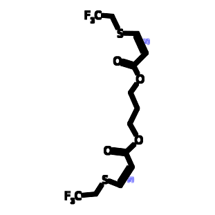 O=C(/C=C\SCC(F)(F)F)OCCCOC(=O)/C=C\SCC(F)(F)F